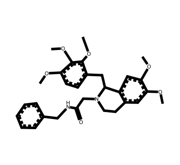 COc1cc2c(cc1OC)C(Cc1ccc(OC)c(OC)c1OC)N(CC(=O)NCc1ccccc1)CC2